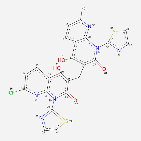 Cc1ccc2c(O)c(Cc3c(O)c4ccc(Cl)nc4n(-c4nccs4)c3=O)c(=O)n(-c3nccs3)c2n1